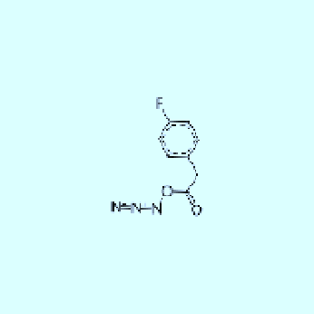 [N-]=[N+]=NOC(=O)Cc1ccc(F)cc1